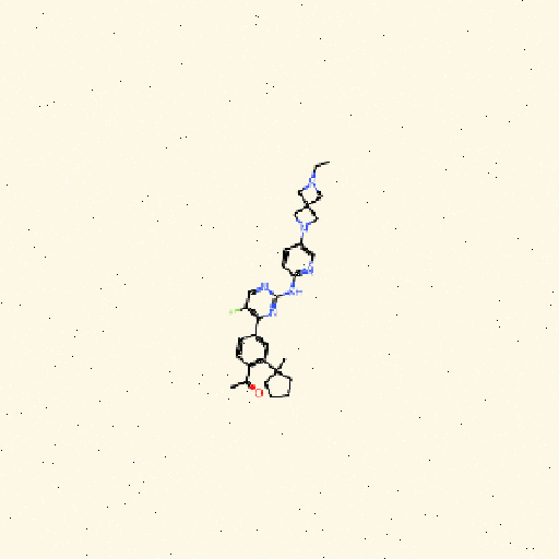 CCN1CC2(C1)CN(c1ccc(Nc3ncc(F)c(-c4ccc(C(C)=O)c(C5(C)CCCC5)c4)n3)nc1)C2